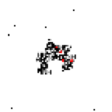 C[C@H]1CN(C(=O)[C@H](C)NC(=O)[C@@H]2COCCN2C(=O)[C@@H]2CCCN2C(=O)[C@@H](NC(=O)[C@H](Cc2cc(F)cc(F)c2)NC(=O)Nc2ccc3[nH]cnc3c2)[C@H](C)O)C2(CC2=O)C1